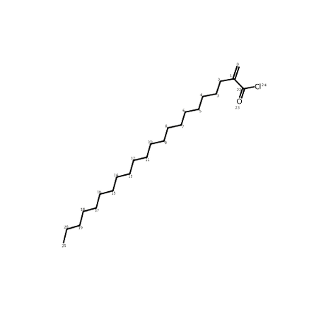 C=C(CCCCCCCCCCCCCCCCCCCC)C(=O)Cl